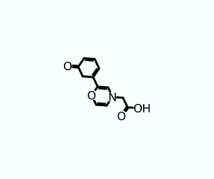 O=C(O)CN1C=COC(C2=CC=CC(=O)C2)=C1